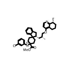 COC(=O)C1(Nc2cccc(Cl)c2)CCC2(CC1)c1ccccc1C[C@@H]2C[C@@H](C)COc1ccnc2c1CCC[C@H]2F